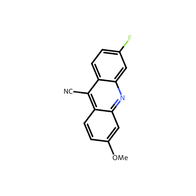 COc1ccc2c(C#N)c3ccc(F)cc3nc2c1